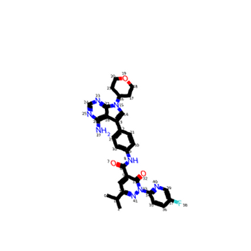 CC(C)c1cc(C(=O)Nc2ccc(-c3cn(C4CCOCC4)c4ncnc(N)c34)cc2)c(=O)n(-c2ccc(F)cn2)n1